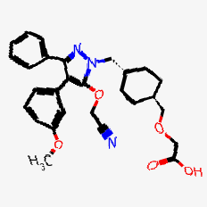 COc1cccc(-c2c(-c3ccccc3)nn(C[C@H]3CC[C@H](COCC(=O)O)CC3)c2OCC#N)c1